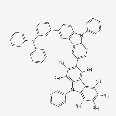 [2H]c1c([2H])c([2H])c2c(c1[2H])c1c([2H])c(-c3ccc4c(c3)c3cc(-c5cccc(N(c6ccccc6)c6ccccc6)c5)ccc3n4-c3ccccc3)c([2H])c([2H])c1n2-c1ccccc1